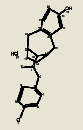 CN(Cc1ccc(Cl)cc1)C1C2CCC1Cc1cc(O)ccc1C2.Cl